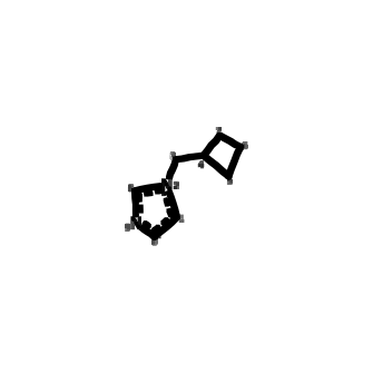 [c]1cn(CC2CCC2)cn1